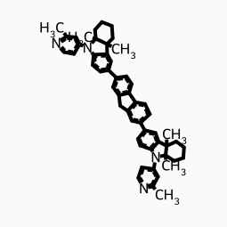 Cc1cc(N2c3ccc(-c4ccc5c(c4)Cc4cc(-c6ccc7c(c6)C6(C)CCCCC6(C)N7c6ccnc(C)c6)ccc4-5)cc3C3(C)CCCCC23C)ccn1